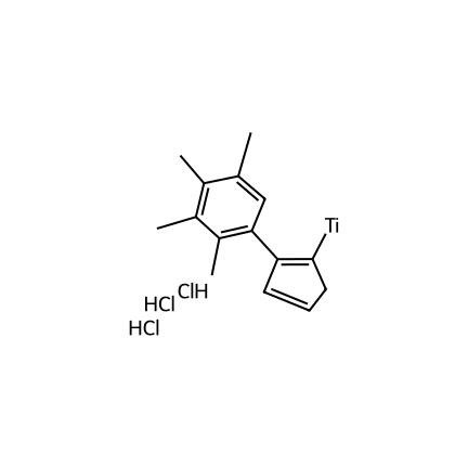 Cc1cc(C2=[C]([Ti])CC=C2)c(C)c(C)c1C.Cl.Cl.Cl